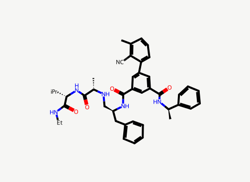 CCNC(=O)[C@@H](NC(=O)[C@H](C)NC[C@H](Cc1ccccc1)NC(=O)c1cc(C(=O)N[C@H](C)c2ccccc2)cc(-c2cccc(C)c2C#N)c1)C(C)C